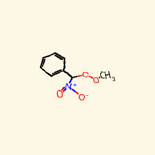 COOC(c1ccccc1)[N+](=O)[O-]